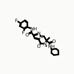 CN1C(=O)c2cc(C(=O)Nc3ccc(F)cc3F)nn2CC1(C)C(=O)NC1CCCCC1